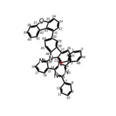 c1ccc(-c2nc(-c3ccccc3)nc(-c3cccnc3-n3c4ccccc4c4cc(-c5cccc6oc7ccccc7c56)ccc43)n2)cc1